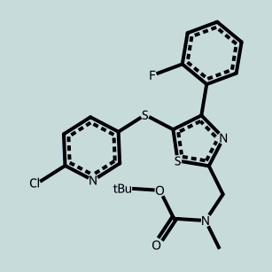 CN(Cc1nc(-c2ccccc2F)c(Sc2ccc(Cl)nc2)s1)C(=O)OC(C)(C)C